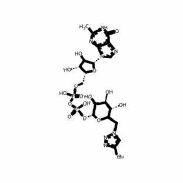 Cc1nc2c(ncn2[C@@H]2O[C@H](COP(=O)(O)OP(=O)(O)O[C@H]3OC(Cn4cc(C(C)(C)C)nn4)[C@@H](O)[C@H](O)C3O)[C@H](O)C2O)c(=O)[nH]1